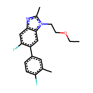 CCOCCn1c(C)nc2cc(F)c(-c3ccc(F)c(C)c3)cc21